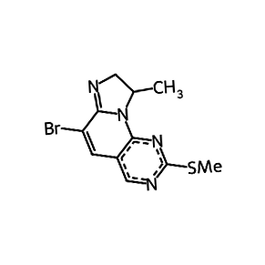 CSc1ncc2c(n1)N1C(=NCC1C)C(Br)=C2